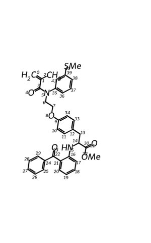 C=C(C)C(=O)N(CCOc1ccc(CC(Nc2ccccc2C(=O)c2ccccc2)C(=O)OC)cc1)c1cccc(SC)c1